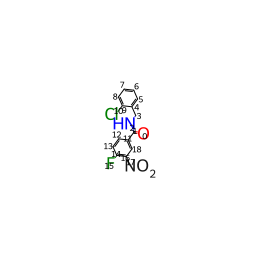 O=C(NCc1ccccc1Cl)c1ccc(F)c([N+](=O)[O-])c1